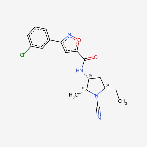 CC[C@H]1C[C@@H](NC(=O)c2cc(-c3cccc(Cl)c3)no2)[C@@H](C)N1C#N